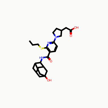 CCCSc1nc(N2CCC(CC(=O)O)C2)ccc1C(=O)NC1C2CC3CC1CC(O)(C3)C2